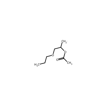 [CH2]C(COCCC)OC(C)=O